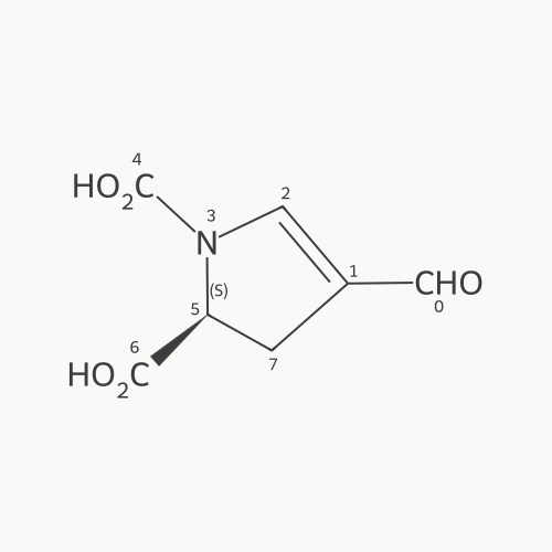 O=CC1=CN(C(=O)O)[C@H](C(=O)O)C1